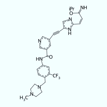 CC(C)OC(=N)/C=C\c1ncc(C#Cc2cncc(C(=O)Nc3ccc(CN4CCN(C)CC4)c(C(F)(F)F)c3)c2)[nH]1